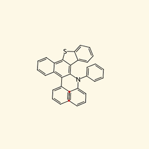 c1ccc(-c2c(N(c3ccccc3)c3ccccc3)c3c4ccccc4sc3c3ccccc23)cc1